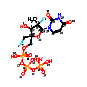 C[C@@]1(F)[C@H](O)[C@@](CF)(COP(=O)(O)OP(=O)(O)OP(=O)(O)O)O[C@H]1n1ccc(=O)[nH]c1=O